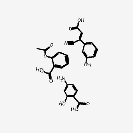 CC(=O)Oc1ccccc1C(=O)O.N#CC(=CC(=O)O)c1cccc(O)c1.Nc1ccc(C(=O)O)c(O)c1